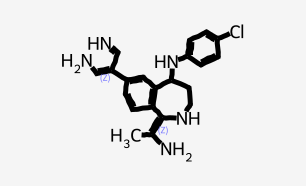 C/C(N)=C1/NCCC(Nc2ccc(Cl)cc2)c2cc(/C(C=N)=C/N)ccc21